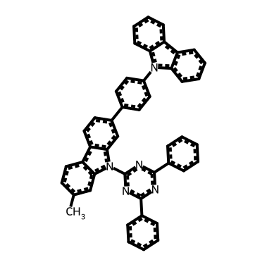 Cc1ccc2c3ccc(-c4ccc(-n5c6ccccc6c6ccccc65)cc4)cc3n(-c3nc(-c4ccccc4)nc(-c4ccccc4)n3)c2c1